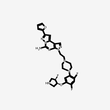 Nc1nc2c(cnn2CCN2CCN(c3cc(O[C@H]4CNC[C@H]4F)c(F)cc3F)CC2)c2cc(-c3ccco3)nn12